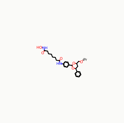 CC(C)OCC1CC(c2ccccc2)OC(c2ccc(NC(=O)CCCCCCC(=O)NO)cc2)O1